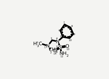 CN(C)CN(c1ccccc1)S(N)(=O)=O